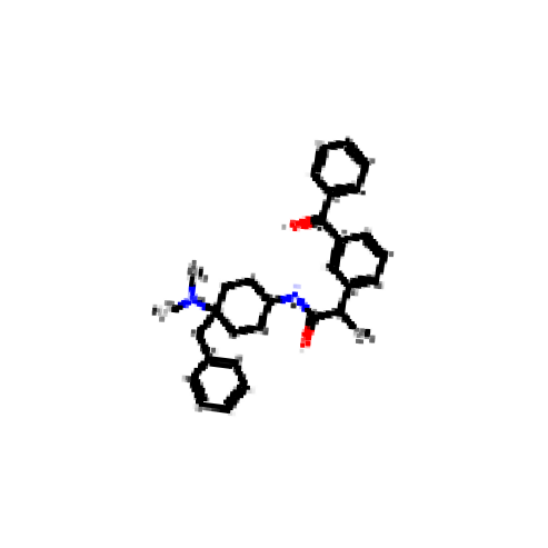 CC(C(=O)NC1CCC(Cc2ccccc2)(N(C)C)CC1)c1cccc(C(=O)c2ccccc2)c1